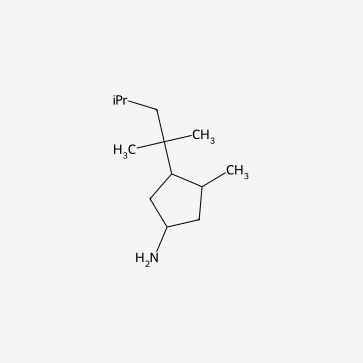 CC(C)CC(C)(C)C1CC(N)CC1C